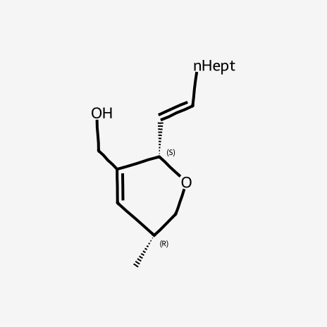 CCCCCCCC=C[C@@H]1OC[C@H](C)C=C1CO